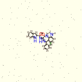 CN1CCN2C(=O)[C@H](NC(=O)c3cc4ccccc4[nH]3)N=C(c3ccccc3F)c3cccc1c32